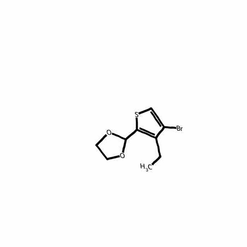 CCc1c(Br)csc1C1OCCO1